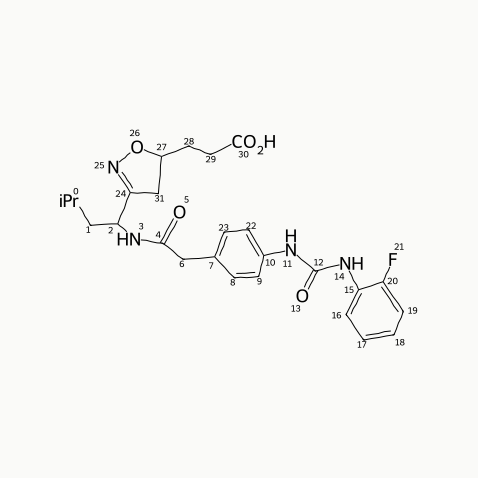 CC(C)CC(NC(=O)Cc1ccc(NC(=O)Nc2ccccc2F)cc1)C1=NOC(CCC(=O)O)C1